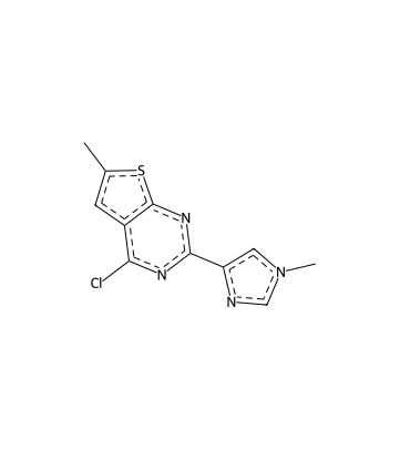 Cc1cc2c(Cl)nc(-c3cn(C)cn3)nc2s1